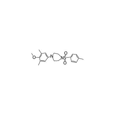 COc1c(C)cc(N2CCN(S(=O)(=O)c3ccc(C)cc3)CC2)cc1C